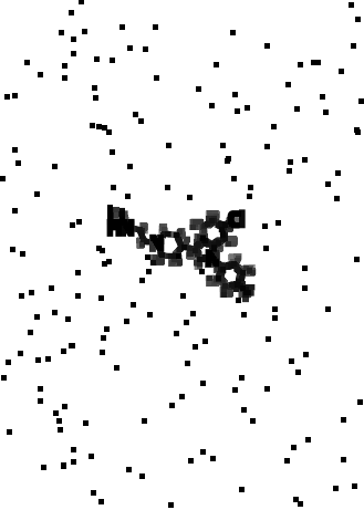 CCNCCN1CCC(c2cn(-c3ccc(F)cc3)c3cc(Cl)ccc23)CC1